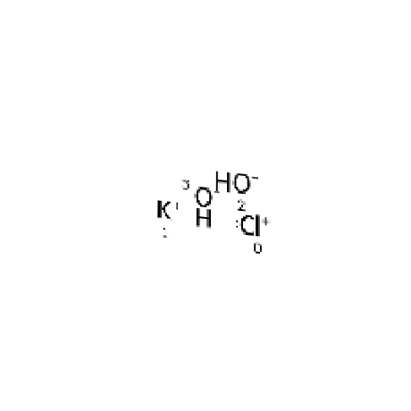 [Cl+].[K+].[OH-].[OH-]